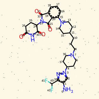 Nc1cn(C2CCN(CCCC3CCN(c4cccc5c4C(=O)N(C4CCC(=O)NC4=O)C5=O)CC3)CC2)nc1C(F)F